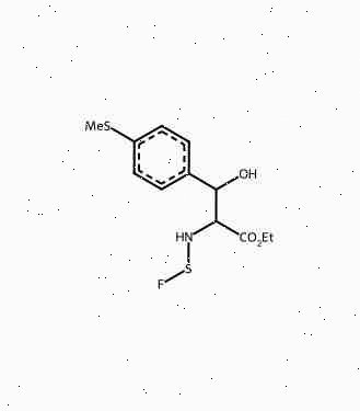 CCOC(=O)C(NSF)C(O)c1ccc(SC)cc1